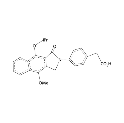 COc1c2c(c(OC(C)C)c3ccccc13)C(=O)N(c1ccc(CC(=O)O)cc1)C2